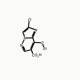 CCOc1c(C(=O)O)cnn2cc(Cl)nc12